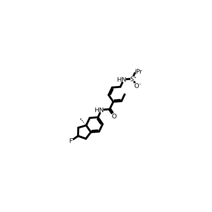 C/C=C(\C=C/CN[S+]([O-])C(C)C)C(=O)NC1=CC=C2CC(F)C[C@@]2(C)C1